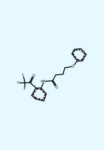 O=C(CCCOc1ccccc1)Nc1ccccc1C(=O)C(F)(F)F